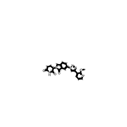 COc1ncccc1-c1cn(-c2ccc3c(c2)C(=O)N(C2CCC(=O)NC2=O)C3)nn1